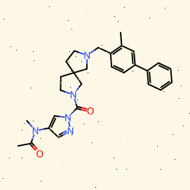 CC(=O)N(C)c1cnn(C(=O)N2CCC3(CCN(Cc4ccc(-c5ccccc5)cc4C)C3)C2)c1